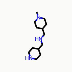 CN1CCC(CNCC2CCNCC2)CC1